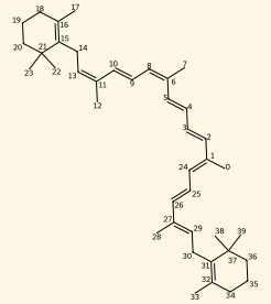 CC(C=CC=CC(C)=CC=CC(C)=CCC1=C(C)CCCC1(C)C)=CC=CC(C)=CCC1=C(C)CCCC1(C)C